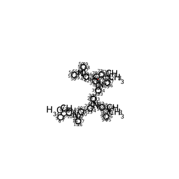 CC1(C)c2ccccc2-c2cc(-n3c4ccccc4c4cc(-c5ccc6c(c5)c5ccc(-c7ccc8c(c7)c7cc(-c9ccc%10c(c9)c9ccccc9n%10-c9ccccc9)ccc7n8-c7cccc8c7-c7c(ccc9ccccc79)C8(C)C)cc5n6-c5ccc6c(c5)-c5ccccc5C6(C)C)ccc43)ccc21